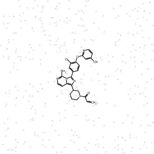 C=CC(=O)N1CCCC(c2nc(-c3ccc(Oc4cc(C#N)ccn4)c(Cl)c3)n3c(N)nccc23)C1